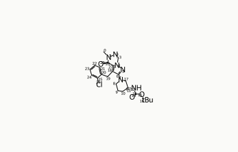 Cn1ncn2nc(N3CCC[C@@H](NC(=O)OC(C)(C)C)C3)c(Cc3ccccc3Cl)c2c1=O